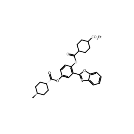 CCOC(=O)C1CCC(C(=O)Oc2ccc(OC(=O)[C@H]3CC[C@H](C)CC3)cc2-c2nc3ccccc3o2)CC1